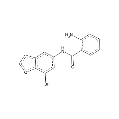 Nc1ccccc1C(=O)Nc1cc(Br)c2occc2c1